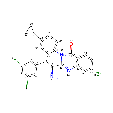 N[C@@H](Cc1cc(F)cc(F)c1)c1nc2cc(Br)ccc2c(=O)n1-c1ccc(C2CC2)cc1